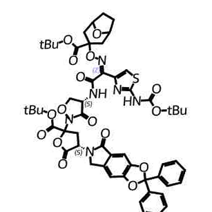 CC(C)(C)OC(=O)Nc1nc(/C(=N/OC2(C(=O)OC(C)(C)C)CC3CCC(C2)O3)C(=O)N[C@H]2CON(C3(C(=O)OC(C)(C)C)C[C@H](N4Cc5cc6c(cc5C4=O)OC(c4ccccc4)(c4ccccc4)O6)C(=O)O3)C2=O)cs1